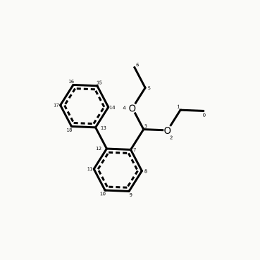 CCOC(OCC)c1ccccc1-c1ccccc1